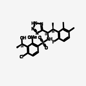 COc1c(S(=O)(=O)N[C@@H](c2nn[nH]n2)[C@@H](C)c2c(F)ccc(C)c2C)ccc(Cl)c1[C@@H](C)O